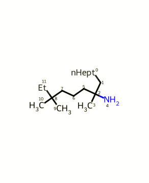 CCCCCCCCC(C)(N)CCCC(C)(C)CC